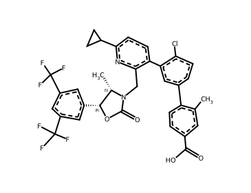 Cc1cc(C(=O)O)ccc1-c1ccc(Cl)c(-c2ccc(C3CC3)nc2CN2C(=O)O[C@H](c3cc(C(F)(F)F)cc(C(F)(F)F)c3)[C@@H]2C)c1